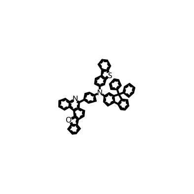 c1ccc(C2(c3ccccc3)c3ccccc3-c3ccc(N(c4ccc(-c5nc6ccccc6c6c5ccc5c7ccccc7oc56)cc4)c4ccc5c(c4)sc4ccccc45)cc32)cc1